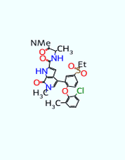 CCS(=O)(=O)c1ccc(Oc2c(C)cccc2Cl)c(-c2cn(C)c(=O)c3[nH]c(C(=O)NC(C)C(=O)NC)cc23)c1